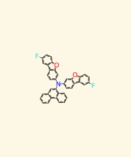 Fc1ccc2oc3cc(N(c4ccc5c(c4)oc4ccc(F)cc45)c4cc5ccccc5c5ccccc45)ccc3c2c1